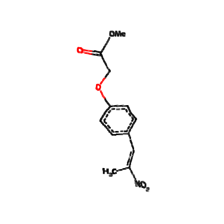 COC(=O)COc1ccc(C=C(C)[N+](=O)[O-])cc1